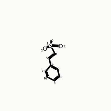 CS(=O)(=O)/C=C/c1ccccc1